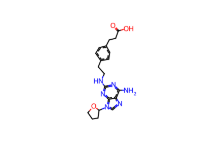 Nc1nc(NCCc2ccc(CCC(=O)O)cc2)nc2c1ncn2C1CCCO1